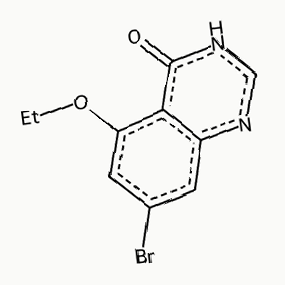 CCOc1cc(Br)cc2nc[nH]c(=O)c12